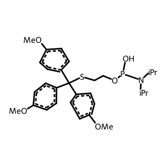 COc1ccc(C(SCCOP(O)N(C(C)C)C(C)C)(c2ccc(OC)cc2)c2ccc(OC)cc2)cc1